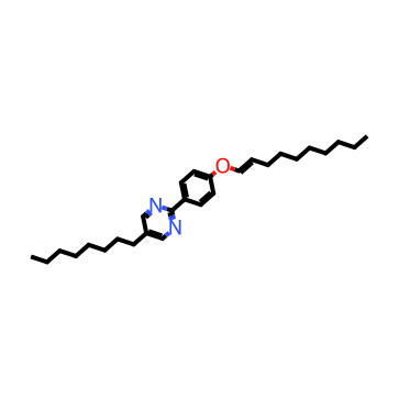 CCCCCCCC/C=C/Oc1ccc(-c2ncc(CCCCCCCC)cn2)cc1